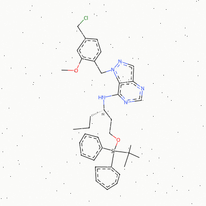 CCC[C@@H](CCO[Si](c1ccccc1)(c1ccccc1)C(C)(C)C)Nc1n[c]nc2cnn(Cc3ccc(CCl)cc3OC)c12